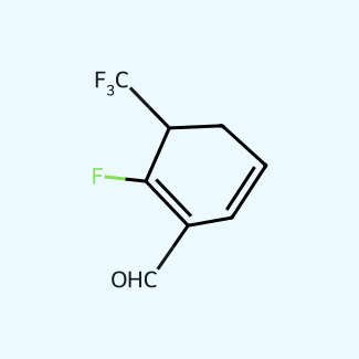 O=CC1=C(F)C(C(F)(F)F)CC=C1